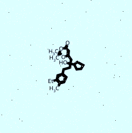 CCc1cc(CCC(O)(CC2=CC(=O)OC(C)(C)O2)C2CCCC2)ccc1C